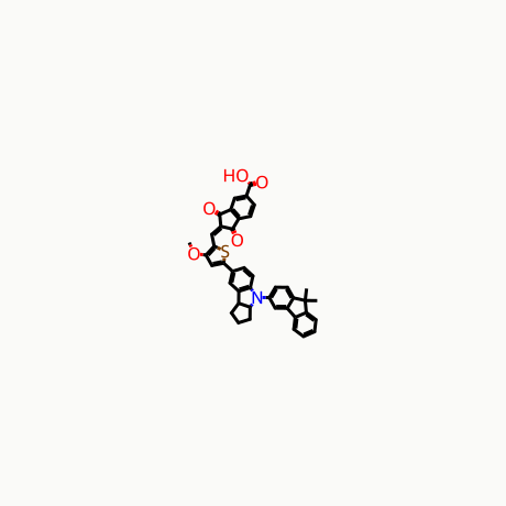 COc1cc(-c2ccc3c(c2)C2CCCC2N3c2ccc3c(c2)-c2ccccc2C3(C)C)sc1/C=C1\C(=O)c2ccc(C(=O)O)cc2C1=O